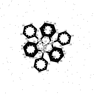 c1cc[c]([Ge]([c]2ccccc2)([c]2ccccc2)[GeH]([Ge]([c]2ccccc2)([c]2ccccc2)[c]2ccccc2)[Ge]([c]2ccccc2)([c]2ccccc2)[c]2ccccc2)cc1